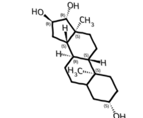 C[C@]12CC[C@H]3[C@@H](CCC4C[C@@H](O)CC[C@@]43C)[C@@H]1C[C@@H](O)[C@@H]2O